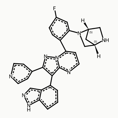 Fc1ccc(-c2ccnc3c(-c4cccc5[nH]ncc45)c(-c4ccncc4)nn23)c(N2C[C@@H]3C[C@H]2CN3)c1